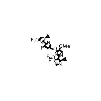 COc1cnc(-c2c(OC(F)F)ncnc2C2CC2)nc1OCc1cnc(-c2nc(C(F)(F)F)cn2C2CC2)c(F)c1